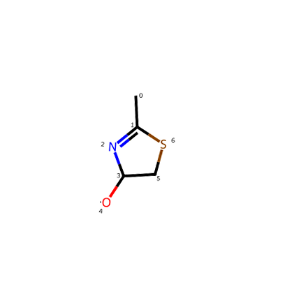 CC1=NC([O])CS1